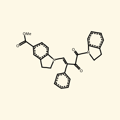 COC(=O)c1ccc2c(c1)CCN2/C=C(/C(=O)C(=O)N1CCc2ccccc21)c1ccccc1